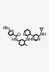 Cc1ccc(NC(=O)c2ccc(C(C)(C)C)s2)cc1Nc1ncccc1-c1cc(NC2CC2)ncn1